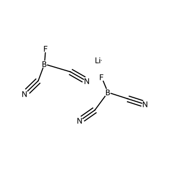 N#CB(F)C#N.N#CB(F)C#N.[Li]